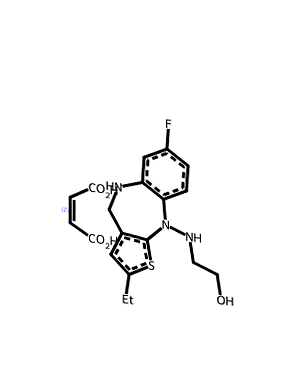 CCc1cc2c(s1)N(NCCO)c1ccc(F)cc1NC2.O=C(O)/C=C\C(=O)O